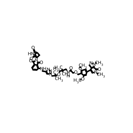 COc1cc(-c2cn(C)c(=O)c3c2cnn3C)cc(OC)c1COCC(=O)NCC(C)(C)COC(C)(C)Cn1cc(CNc2cccc3c2C(=O)N(C24CC(C2)C(=O)NC4=O)C3=O)nn1